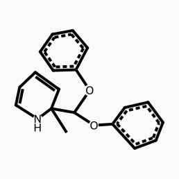 CC1(C(Oc2ccccc2)Oc2ccccc2)C=CC=CN1